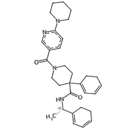 C[C@H](NC(=O)C1(C2=CC=CCC2)CCN(C(=O)c2ccc(N3CCCCC3)nc2)CC1)C1=CC=CCC1